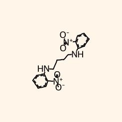 O=[N+]([O-])c1ccccc1NCCCCNc1ccccc1[N+](=O)[O-]